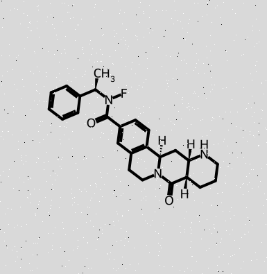 C[C@H](c1ccccc1)N(F)C(=O)c1ccc2c(c1)CCN1C(=O)[C@H]3CCCN[C@H]3C[C@H]21